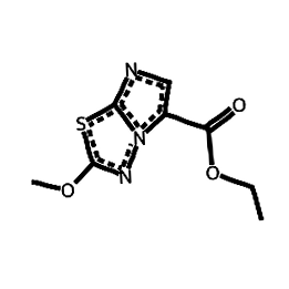 CCOC(=O)c1cnc2sc(OC)nn12